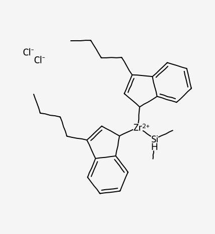 CCCCC1=C[CH]([Zr+2]([CH]2C=C(CCCC)c3ccccc32)[SiH](C)C)c2ccccc21.[Cl-].[Cl-]